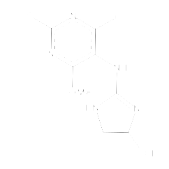 COc1nc(C)nc(Cl)c1NC1=NC(O)CN1